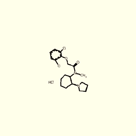 CN(C(=O)COc1c(Cl)cccc1Cl)C1CCCCC1N1CCCC1.Cl